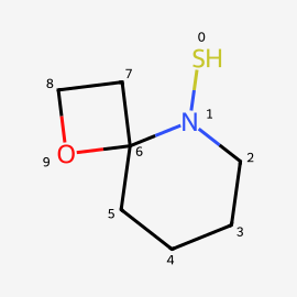 SN1CCCCC12CCO2